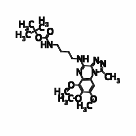 COc1cc2c(nc(NCCCCNC(=O)OC(C)(C)C)c3nnc(C)n32)c(OC)c1OC